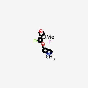 COC1(c2cc(F)cc(OCc3ccc4c(ccc[n+]4C)c3)c2)CCOCC1.[I-]